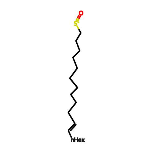 CCCCCCC=CCCCCCCCCCC[S+]=O